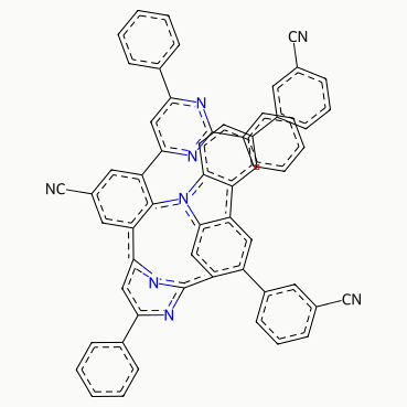 N#Cc1cccc(-c2ccc3c(c2)c2cc(-c4cccc(C#N)c4)c4cc2n3c2c(-c3cc(-c5ccccc5)nc(-c5ccccc5)n3)cc(C#N)cc2c2cc(-c3ccccc3)nc4n2)c1